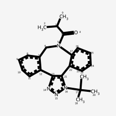 CC(C)C(=O)N1Cc2ccccc2-c2nnn(C(C)(C)C)c2-c2ccccc21